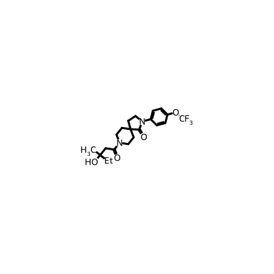 CCC(C)(O)CC(=O)N1CCC2(CC1)CCN(c1ccc(OC(F)(F)F)cc1)C2=O